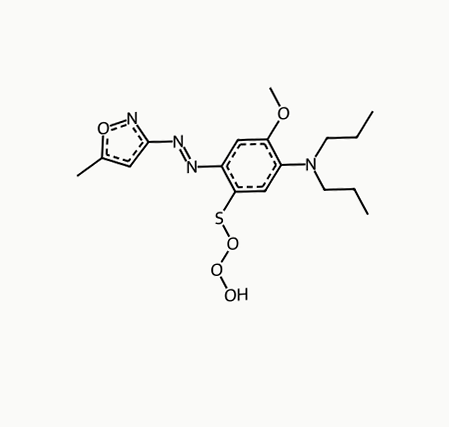 CCCN(CCC)c1cc(SOOO)c(N=Nc2cc(C)on2)cc1OC